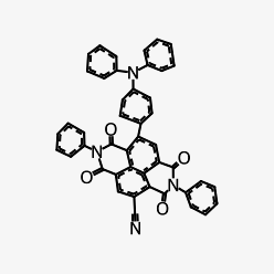 N#Cc1cc2c3c(c(-c4ccc(N(c5ccccc5)c5ccccc5)cc4)cc4c3c1C(=O)N(c1ccccc1)C4=O)C(=O)N(c1ccccc1)C2=O